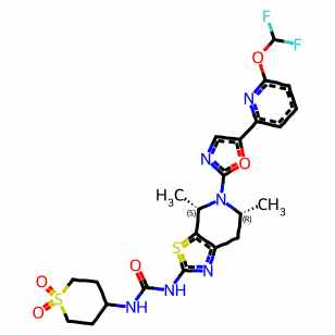 C[C@@H]1Cc2nc(NC(=O)NC3CCS(=O)(=O)CC3)sc2[C@H](C)N1c1ncc(-c2cccc(OC(F)F)n2)o1